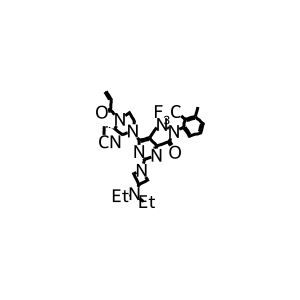 C=CC(=O)N1CCN(c2nc(N3CC(N(CC)CC)C3)nc3c(=O)n(-c4cccc(C)c4C(F)(F)F)ncc23)C[C@@H]1CC#N